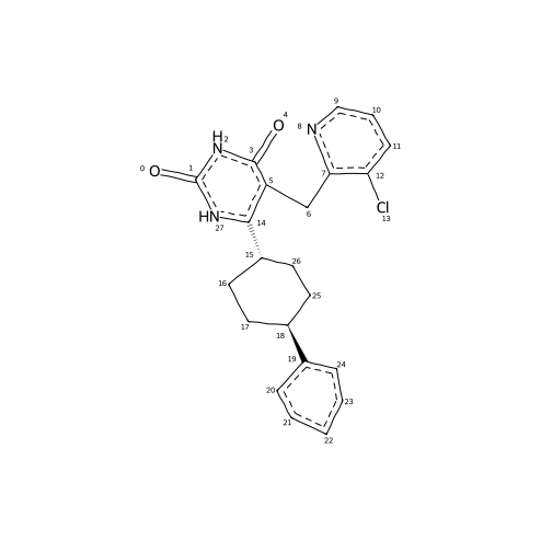 O=c1[nH]c(=O)c(Cc2ncccc2Cl)c([C@H]2CC[C@H](c3ccccc3)CC2)[nH]1